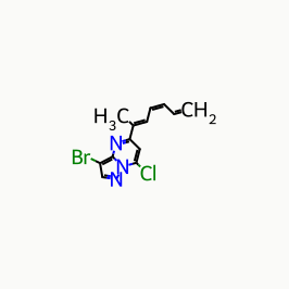 C=C/C=C\C=C(/C)c1cc(Cl)n2ncc(Br)c2n1